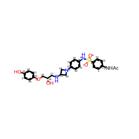 CC(=O)Nc1ccc(S(=O)(=O)Nc2ccc(N3CC(NC[C@H](O)COc4ccc(O)cc4)C3)cc2)cc1